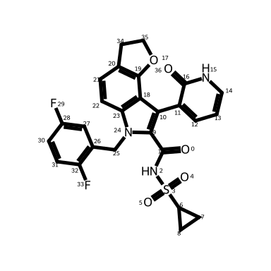 O=C(NS(=O)(=O)C1CC1)c1c(-c2ccc[nH]c2=O)c2c3c(ccc2n1Cc1cc(F)ccc1F)CCO3